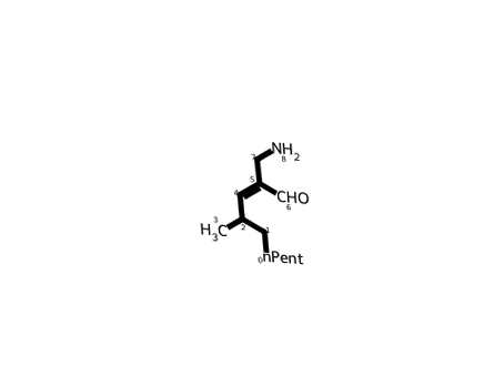 CCCCCCC(C)/C=C(\C=O)CN